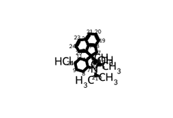 CC(C)N(C(C)C)C1CCCCC1C1(C(=O)O)Cc2cccc3cccc1c23.Cl